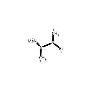 CCN(C)N(C)NC